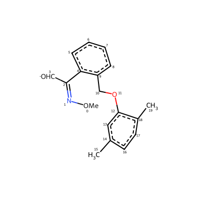 CO/N=C(/[C]=O)c1ccccc1COc1cc(C)ccc1C